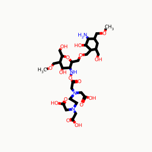 COCC1CC(CO)C(COCC2OC(CO)C(COC)C(O)C2NOC(=O)CN(CCN(CC(=O)O)CC(=O)O)CC(=O)O)C(O)C1N